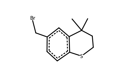 CC1(C)CCSc2ccc(CBr)cc21